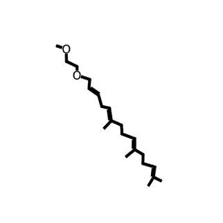 COCCOCC=CC/C=C(\C)CC/C=C(\C)CCC=C(C)C